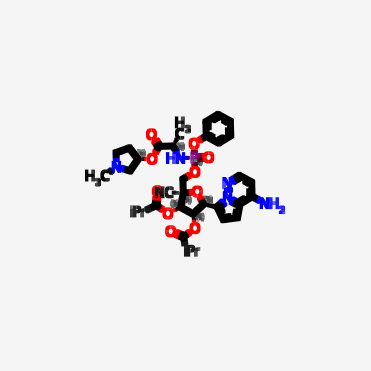 CC(C)C(=O)O[C@H]1[C@H](c2ccc3c(N)ccnn23)O[C@](C#N)(CO[P@@](=O)(N[C@@H](C)C(=O)O[C@H]2CCN(C)C2)Oc2ccccc2)[C@H]1OC(=O)C(C)C